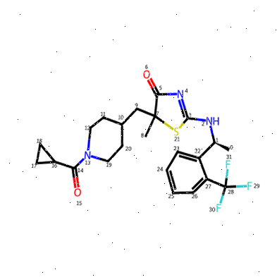 C[C@H](NC1=NC(=O)C(C)(CC2CCN(C(=O)C3CC3)CC2)S1)c1ccccc1C(F)(F)F